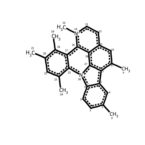 Cc1ccc2c(c1)c1c(C)cc3cc[n+](C)c4c5c(C)c(C)cc(C)c5n2c1c34